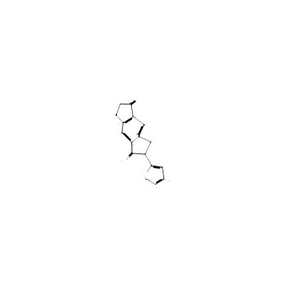 O=C1CCc2cc3c(cc21)CC(c1cccs1)C3=O